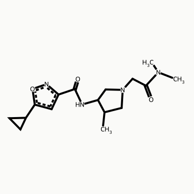 CC1CN(CC(=O)N(C)C)CC1NC(=O)c1cc(C2CC2)on1